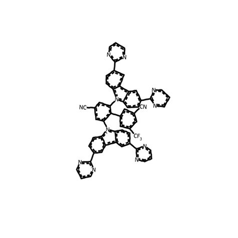 N#Cc1cc(-c2c(-n3c4ccc(-c5ncccn5)cc4c4cc(-c5ncccn5)ccc43)cc(C#N)cc2-n2c3ccc(-c4ncccn4)cc3c3cc(-c4ncccn4)ccc32)cc(C(F)(F)F)c1